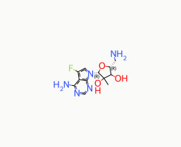 CC1(O)C(O)[C@@H](CN)O[C@H]1n1cc(F)c2c(N)ncnc21